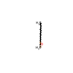 CCCCCCCCCCCCCCCCCCSC(=O)CSC